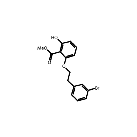 COC(=O)c1c(O)cccc1OCCc1cccc(Br)c1